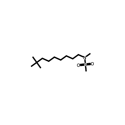 CN(CCCCCCCC(C)(C)C)S(C)(=O)=O